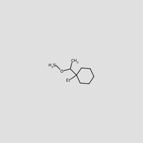 CCC1(C(C)O[SiH3])CCCCC1